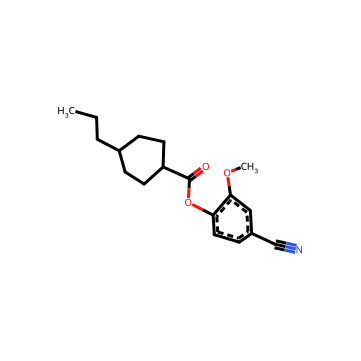 CCCC1CCC(C(=O)Oc2ccc(C#N)cc2OC)CC1